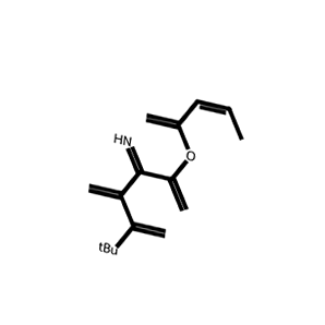 C=C(/C=C\C)OC(=C)C(=N)C(=C)C(=C)C(C)(C)C